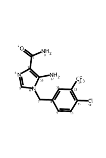 NC(=O)c1ncn(Cc2ccc(Cl)c(C(F)(F)F)c2)c1N